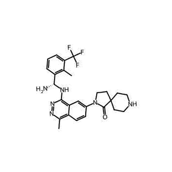 Cc1c([C@@H](N)Nc2nnc(C)c3ccc(N4CCC5(CCNCC5)C4=O)cc23)cccc1C(F)(F)F